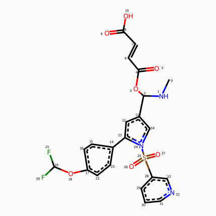 CNC(OC(=O)/C=C/C(=O)O)c1cc(-c2ccc(OC(F)F)cc2)n(S(=O)(=O)c2cccnc2)c1